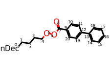 [CH2]CCCCCCCCCCCCCOOC(=O)c1ccc(-c2ccccc2)cc1